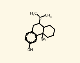 CCC[C@]12CCCCC1C(N(C)C)Cc1ccc(O)cc12